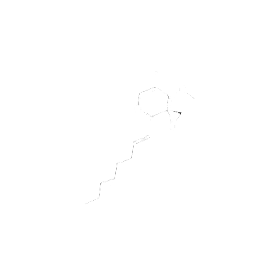 CCCCCCC=C[C@@H]1OC[C@H](C)[C@H](OC)[C@@]12CO2